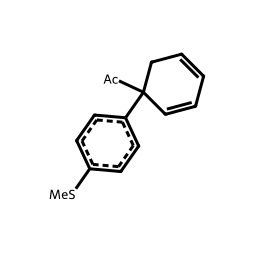 CSc1ccc(C2(C(C)=O)C=CC=CC2)cc1